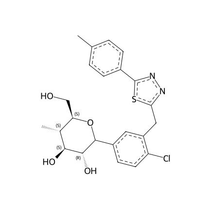 Cc1ccc(-c2nnc(Cc3cc(C4O[C@H](CO)[C@@H](C)[C@H](O)[C@H]4O)ccc3Cl)s2)cc1